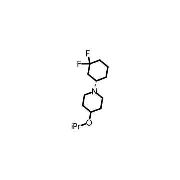 CC(C)OC1CCN([C@H]2CCCC(F)(F)C2)CC1